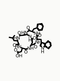 CC(C)CC1NC(=O)C2CNC(=O)CC(NC(=O)C(CC(=O)O)NC1=O)C(=O)NC(Cc1c[nH]c3ccccc13)C(=O)NC(Cc1ccccc1)C(=O)N2